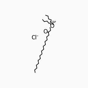 CCCCCCCCCCCCCCCCCC(=O)CCO[N+](C)(CCCC)CCCC.[Cl-]